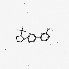 Nc1cccc(-c2cnc(N3CCCC3C(F)(F)F)nc2)n1